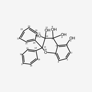 Oc1cccc2c1C(O)(O)C(O)(O)C(c1ccccc1)(c1ccccc1)O2